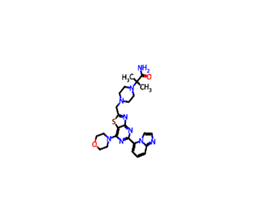 CC(C)(C(N)=O)N1CCN(Cc2nc3nc(-c4cccc5nccn45)nc(N4CCOCC4)c3s2)CC1